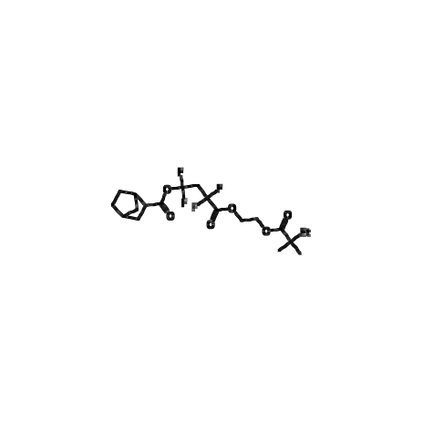 CCC(C)(C)C(=O)OCCOC(=O)C(F)(F)CC(F)(F)OC(=O)C1CC2CCC1C2